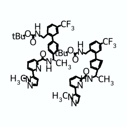 C[C@@H](NC(=O)c1cccc(-c2ccnn2C)n1)c1ccc(-c2cc(C(F)(F)F)ccc2CNC(=O)OC(C)(C)C)cc1.C[C@@H](NC(=O)c1cccc(-c2ccnn2C)n1)c1ccc(-c2cc(C(F)(F)F)ccc2CNC(=O)OC(C)(C)C)cc1